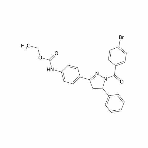 CCOC(=O)Nc1ccc(C2=NN(C(=O)c3ccc(Br)cc3)C(c3ccccc3)C2)cc1